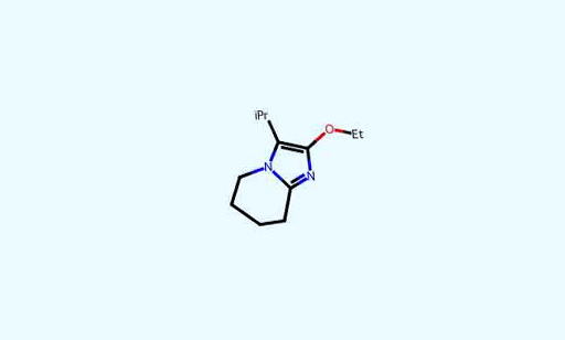 CCOc1nc2n(c1C(C)C)CCCC2